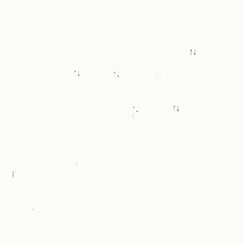 FCC(CF)Oc1ccc2ncnc(Nc3nc4ccc(F)nc4s3)c2c1